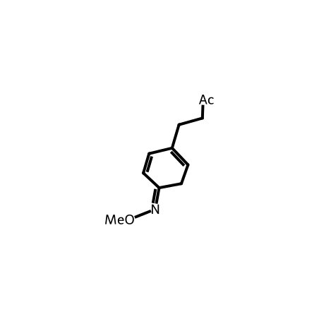 CON=C1C=CC(CCC(C)=O)=CC1